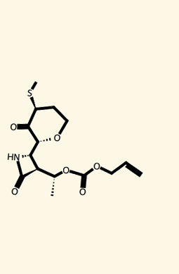 C=CCOC(=O)O[C@H](C)[C@H]1C(=O)N[C@@H]1[C@H]1OCC[C@H](SC)C1=O